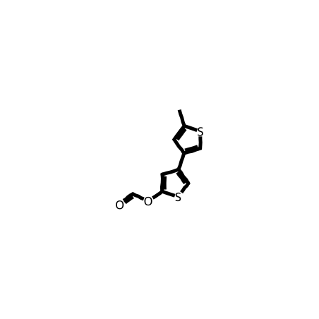 Cc1cc(-c2csc(OC=O)c2)cs1